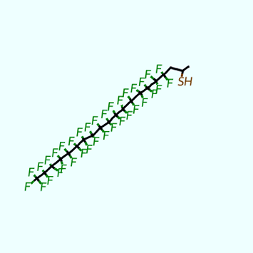 CC(S)CC(F)(F)C(F)(F)C(F)(F)C(F)(F)C(F)(F)C(F)(F)C(F)(F)C(F)(F)C(F)(F)C(F)(F)C(F)(F)C(F)(F)C(F)(F)C(F)(F)C(F)(F)C(F)(F)C(F)(F)F